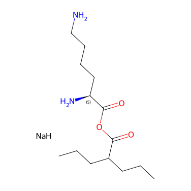 CCCC(CCC)C(=O)OC(=O)[C@@H](N)CCCCN.[NaH]